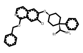 CCC(N)[C@]1(c2ccccc2)CC[C@H](Oc2cc3ccnc(OCc4ccccc4)c3cc2Cl)CC1